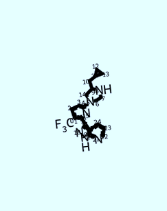 FC(F)(F)c1ccc(N2CCNC(CC3CC3)C2)nc1-c1n[nH]c2ncccc12